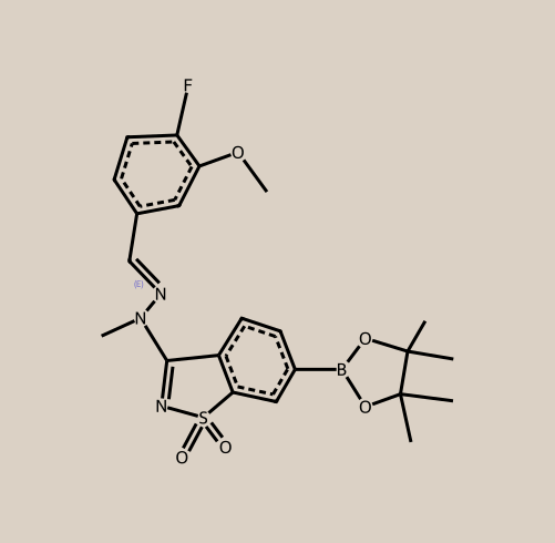 COc1cc(/C=N/N(C)C2=NS(=O)(=O)c3cc(B4OC(C)(C)C(C)(C)O4)ccc32)ccc1F